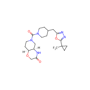 O=C1CO[C@H]2CCN(C(=O)N3CCC(Cc4nnc(C5(C(F)(F)F)CC5)o4)CC3)C[C@H]2N1